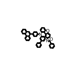 c1ccc(-c2cccc(N(c3ccc(-c4cc5ccccc5c5ccccc45)cc3)c3cccc4oc5cc6oc(-c7ccccc7)nc6cc5c34)c2)cc1